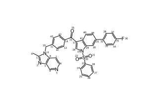 Cc1nc2cnccc2n1Cc1ccc(C(=O)c2cn(S(=O)(=O)c3ccccc3)c3cc(-c4ccc(F)cc4)ccc23)cc1